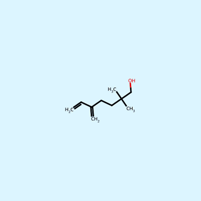 C=CC(=C)CCC(C)(C)CO